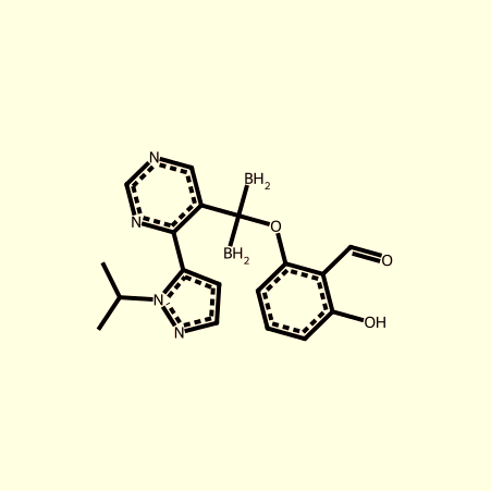 BC(B)(Oc1cccc(O)c1C=O)c1cncnc1-c1ccnn1C(C)C